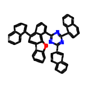 c1ccc2cc(-c3nc(-c4cccc5ccccc45)nc(-c4cccc5c(-c6cccc7ccccc67)cc6c7ccccc7oc6c45)n3)ccc2c1